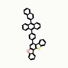 c1ccc2cc(-c3c4ccccc4c(-c4ccc(-c5cc6oc7ccccc7c6c6sc7ccccc7c56)cc4)c4ccccc34)ccc2c1